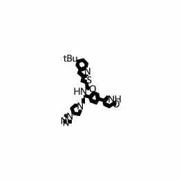 CC(C)(C)[C@H]1CCc2nc3sc(C(=O)N[C@H](CCN4CCC(n5cnnc5)CC4)c4ccc(-c5ccc(=O)[nH]c5)cc4)cc3cc2C1